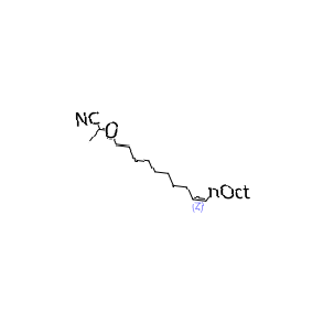 CCCCCCCC/C=C\CCCCCCCCOC(C)C#N